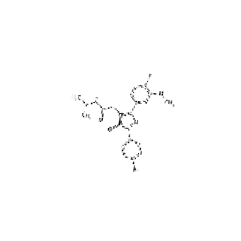 COc1cc(-c2nn(-c3ccc(Br)cc3)c(=O)n2CC(=O)NC(C)C)ccc1F